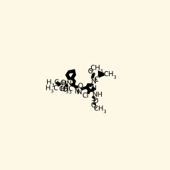 COCCN(CC1CC1C)c1cc(-c2nnc([C@@](C)(Cc3ccccc3)NC(=O)OC(C)(C)C)o2)c(Cl)c(NSOOC)n1